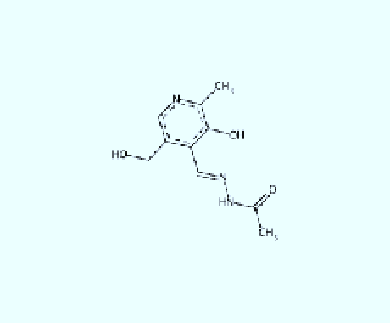 CC(=O)NN=Cc1c(CO)cnc(C)c1O